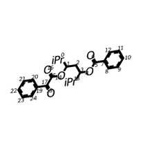 CC(C)C(CC(OC(=O)c1ccccc1)C(C)C)OC(=O)C(=O)c1ccccc1